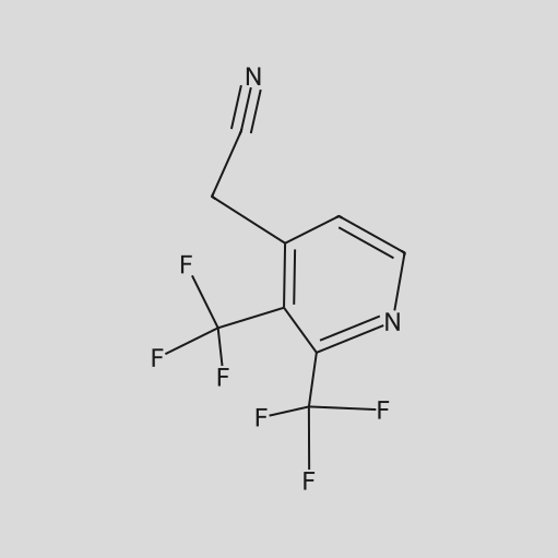 N#CCc1ccnc(C(F)(F)F)c1C(F)(F)F